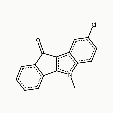 Cn1c2c(c3cc(Cl)ccc31)C(=O)c1ccccc1-2